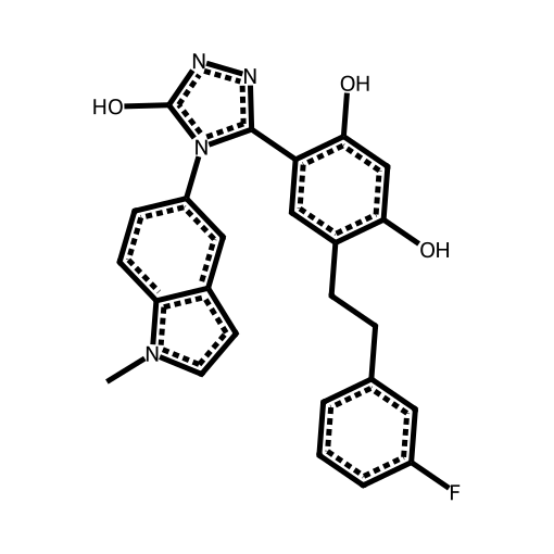 Cn1ccc2cc(-n3c(O)nnc3-c3cc(CCc4cccc(F)c4)c(O)cc3O)ccc21